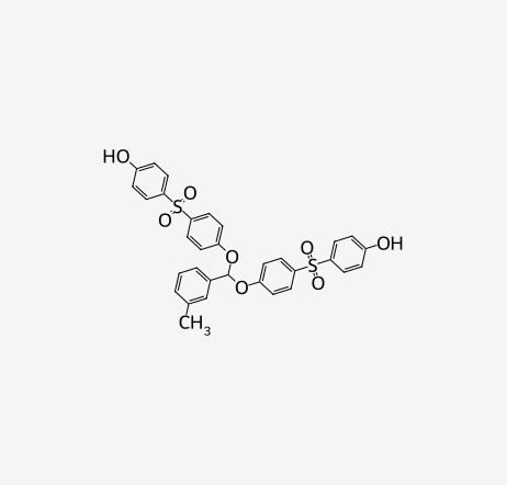 Cc1cccc(C(Oc2ccc(S(=O)(=O)c3ccc(O)cc3)cc2)Oc2ccc(S(=O)(=O)c3ccc(O)cc3)cc2)c1